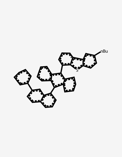 CCCCc1ccc2sc3c(-c4c5ccccc5c(-c5cccc6ccc(-c7ccccc7)cc56)c5ccccc45)cccc3c2c1